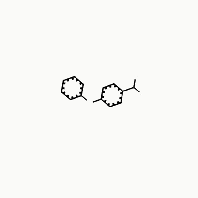 OC(c1ccc(Oc2ccccc2)cc1)C(F)(F)F